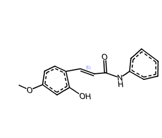 COc1ccc(/C=C/C(=O)Nc2ccccc2)c(O)c1